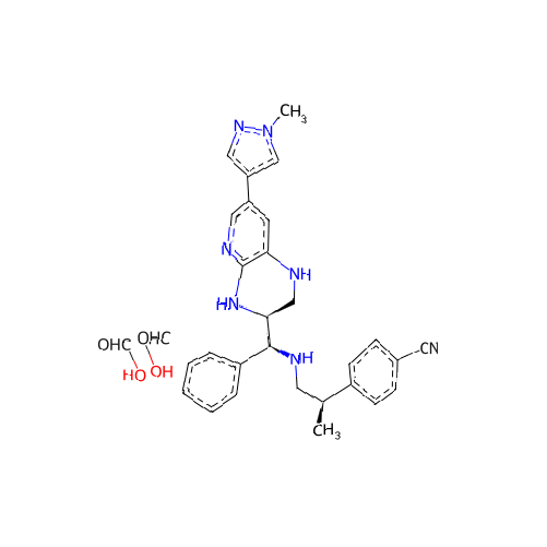 C[C@@H](CN[C@@H](c1ccccc1)[C@@H]1CNc2cc(-c3cnn(C)c3)cnc2N1)c1ccc(C#N)cc1.O=CO.O=CO